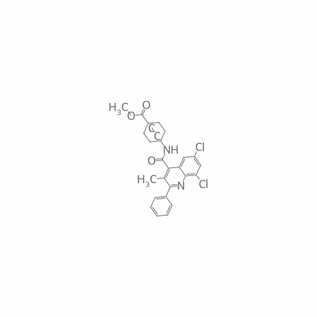 COC(=O)C12CCC(NC(=O)c3c(C)c(-c4ccccc4)nc4c(Cl)cc(Cl)cc34)(CC1)CC2